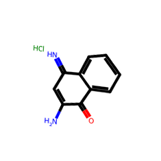 Cl.N=C1C=C(N)C(=O)c2ccccc21